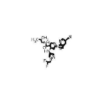 CC(C)CNC(=O)c1cnc(-n2ncc3cc(C#N)cnc32)cc1Nc1cnn(CC(F)F)c1